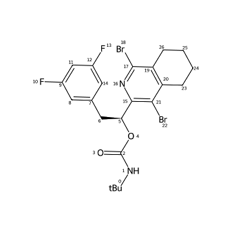 CC(C)(C)NC(=O)O[C@@H](Cc1cc(F)cc(F)c1)c1nc(Br)c2c(c1Br)CCCC2